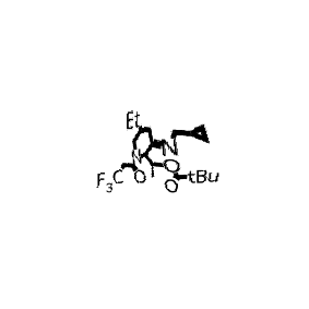 CCC1C/C(=N\CC2CC2)C([C@H](C)OC(=O)C(C)(C)C)N(C(=O)CC(F)(F)F)C1